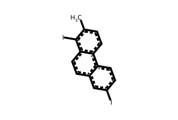 Cc1ccc2c(ccc3cc(I)ccc32)c1I